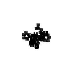 N=C(NC1NC(=O)C=C(COC2(C(=O)NCCC3CC3)CCCCC2)N1)c1ccccc1